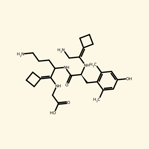 Cc1cc(O)cc(C)c1C[C@H](NC(CN)=C1CCC1)C(=O)NC(CCCN)C(NCC(=O)O)=C1CCC1